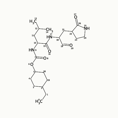 CCC1CCC(OC(=O)NC(CC(C)C)C(=O)NC(C=O)CC2CCNC2=O)CC1